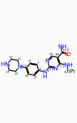 CCCNc1nc(Nc2ccc(N3CCNCC3)cc2)ncc1C(N)=O